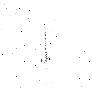 CC(C)CCCCCCCCCCCCCOC(N)=O